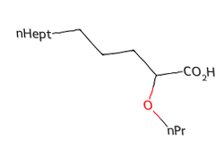 CCCCCCCCCCC(OCCC)C(=O)O